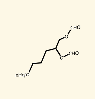 CCCCCCCCCCC(COC=O)OC=O